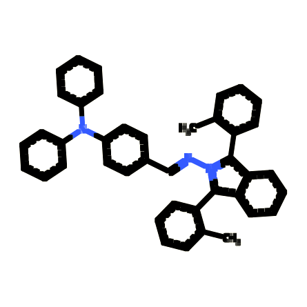 Cc1ccccc1-c1c2ccccc2c(-c2ccccc2C)n1N=Cc1ccc(N(c2ccccc2)c2ccccc2)cc1